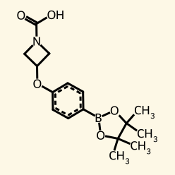 CC1(C)OB(c2ccc(OC3CN(C(=O)O)C3)cc2)OC1(C)C